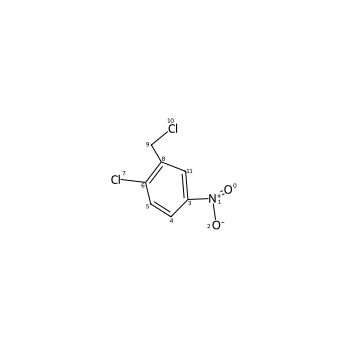 O=[N+]([O-])c1ccc(Cl)c(CCl)c1